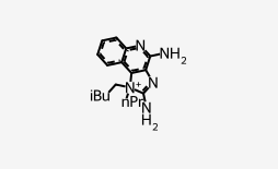 CCC[N+]1(CC(C)CC)C(N)=Nc2c(N)nc3ccccc3c21